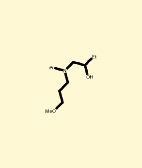 CCC(O)CN(CCCOC)C(C)C